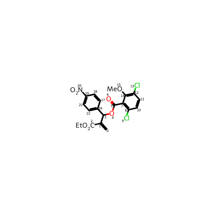 C=C(C(=O)OCC)C(OC(=O)c1c(Cl)ccc(Cl)c1OC)c1ccc([N+](=O)[O-])cc1